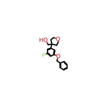 OCC1(c2cc(F)cc(OCc3ccccc3)c2)CCOCC1